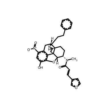 CN(C(=O)/C=C/c1ccoc1)[C@H]1CC[C@H]2[C@H]3Cc4c([N+](=O)[O-])cc(O)c5c4[C@@]2(CCN3CCc2ccccc2)[C@H]1O5